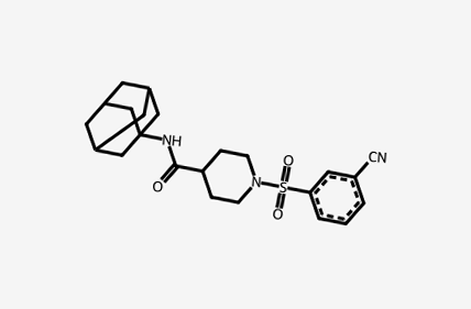 N#Cc1cccc(S(=O)(=O)N2CCC(C(=O)NC34CC5CC(CC(C5)C3)C4)CC2)c1